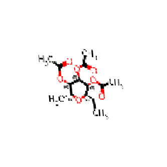 CC[C@H]1O[C@H](C)[C@@H](OC(C)=O)[C@@H](OC(C)=O)[C@@H]1OC(C)=O